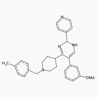 COc1cccc(C2=CNC(c3ccncc3)N=C2C2CCN(Cc3ccc(C)cc3)CC2)c1